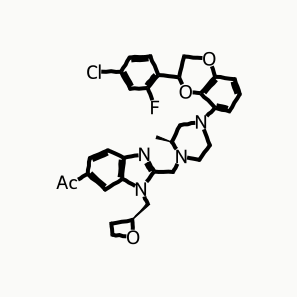 CC(=O)c1ccc2nc(CN3CCN(c4cccc5c4OC(c4ccc(Cl)cc4F)CO5)C[C@@H]3C)n(C[C@@H]3CCO3)c2c1